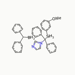 BC(c1ccccc1)c1ccccc1.COc1cccc([SiH2]C(c2ccccc2)(c2ccccc2)n2ccnc2)c1